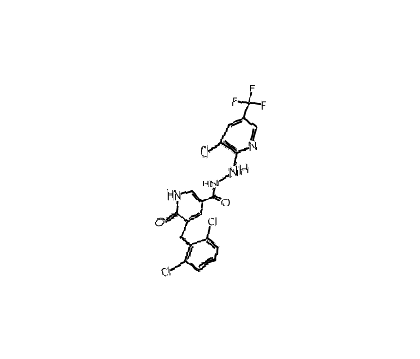 O=C(NNc1ncc(C(F)(F)F)cc1Cl)c1c[nH]c(=O)c(Cc2c(Cl)cccc2Cl)c1